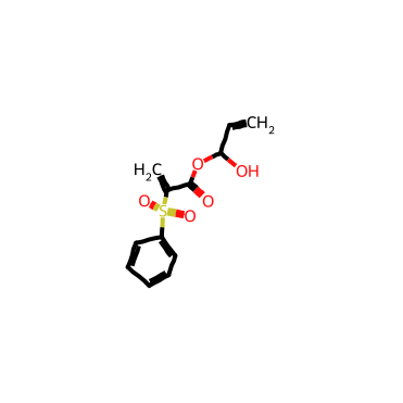 C=CC(O)OC(=O)C(=C)S(=O)(=O)c1ccccc1